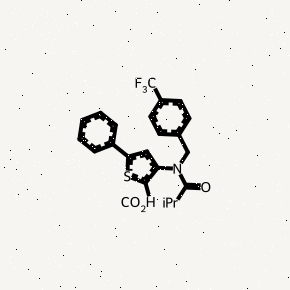 CC(C)C(=O)N(Cc1ccc(C(F)(F)F)cc1)c1cc(-c2ccccc2)sc1C(=O)O